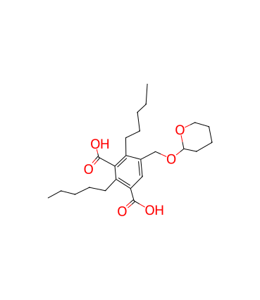 CCCCCc1c(COC2CCCCO2)cc(C(=O)O)c(CCCCC)c1C(=O)O